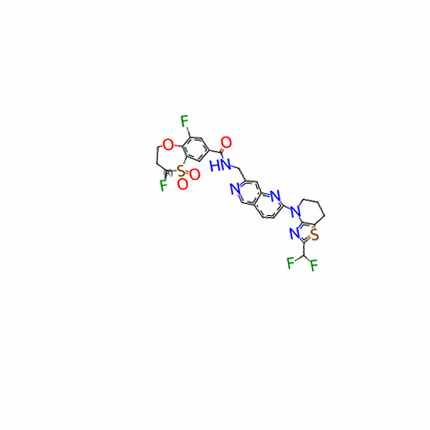 O=C(NCc1cc2nc(N3CCCc4sc(C(F)F)nc43)ccc2cn1)c1cc(F)c2c(c1)S(=O)(=O)[C@@H](F)CCO2